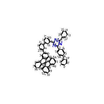 c1ccc(-c2ccc(-c3nc(-c4ccccc4)nc(-c4cccc(-c5cccc(-c6ccc7c(c6)-c6ccccc6C76c7ccccc7-c7ccccc76)c5)c4)n3)cc2)cc1